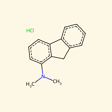 CN(C)c1cccc2c1Cc1ccccc1-2.Cl